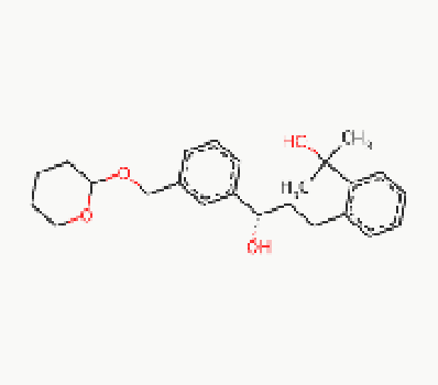 CC(C)(O)c1ccccc1CC[C@H](O)c1cccc(COC2CCCCO2)c1